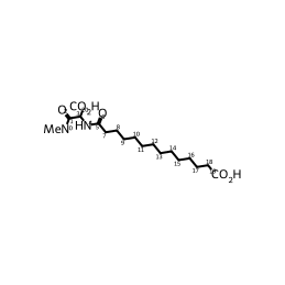 CNC(=O)C(NC(=O)CCCCCCCCCCCCC(=O)O)C(=O)O